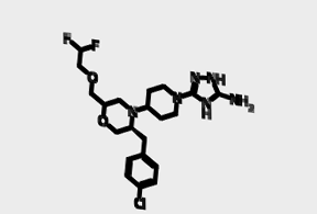 NC1NN=C(N2CCC(N3CC(COCC(F)F)OC[C@@H]3Cc3ccc(Cl)cc3)CC2)N1